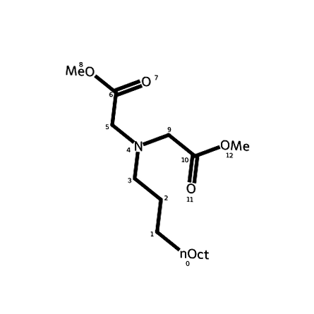 CCCCCCCCCCCN(CC(=O)OC)CC(=O)OC